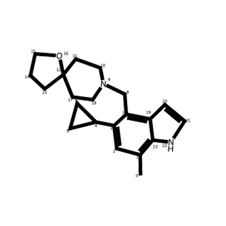 Cc1cc(C2CC2)c(CN2CCC3(CCCO3)CC2)c2cc[nH]c12